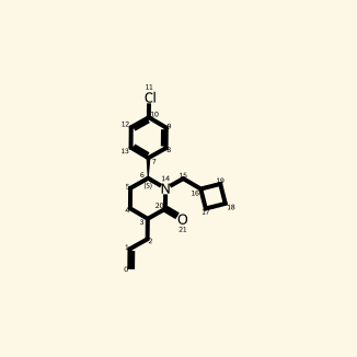 C=CCC1CC[C@@H](c2ccc(Cl)cc2)N(CC2CCC2)C1=O